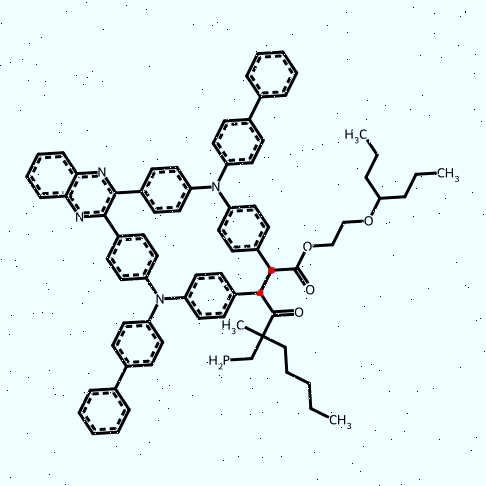 CCCCCC(C)(CP)C(=O)CCc1ccc(N(c2ccc(-c3ccccc3)cc2)c2ccc(-c3nc4ccccc4nc3-c3ccc(N(c4ccc(CCC(=O)OCCOC(CCC)CCC)cc4)c4ccc(-c5ccccc5)cc4)cc3)cc2)cc1